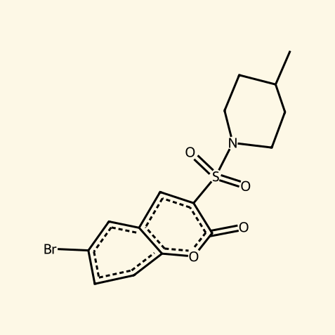 CC1CCN(S(=O)(=O)c2cc3cc(Br)ccc3oc2=O)CC1